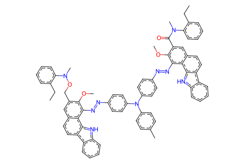 CCc1ccccc1N(C)OCc1cc2ccc3c4ccccc4[nH]c3c2c(N=Nc2ccc(N(c3ccc(C)cc3)c3ccc(N=Nc4c(OC)c(C(=O)N(C)c5ccccc5CC)cc5ccc6c7ccccc7[nH]c6c45)cc3)cc2)c1OC